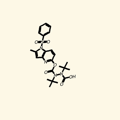 Cc1cc2nc(OC(=O)N(N(C(=O)O)C(C)(C)C)C(C)(C)C)ccc2n1S(=O)(=O)c1ccccc1